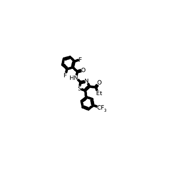 CCC(=O)c1nc(NC(=O)c2c(F)cccc2F)sc1-c1cccc(C(F)(F)F)c1